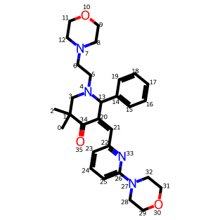 CC1(C)CN(CCN2CCOCC2)C(c2ccccc2)/C(=C/c2cccc(N3CCOCC3)n2)C1=O